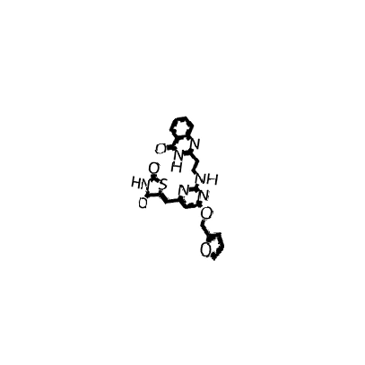 O=C1NC(=O)C(=Cc2cc(OCc3ccco3)nc(NCCc3nc4ccccc4c(=O)[nH]3)n2)S1